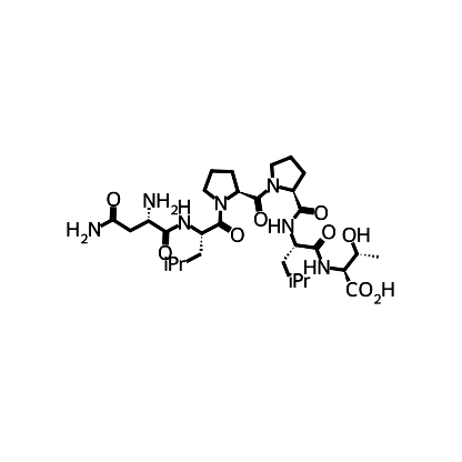 CC(C)C[C@H](NC(=O)[C@@H]1CCCN1C(=O)[C@@H]1CCCN1C(=O)[C@H](CC(C)C)NC(=O)[C@@H](N)CC(N)=O)C(=O)N[C@H](C(=O)O)[C@@H](C)O